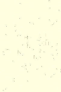 CC(C)(C)c1cncc(N2CCCC2)n1